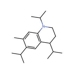 Cc1cc2c(cc1C(C)C)C(C(C)C)CCN2C(C)C